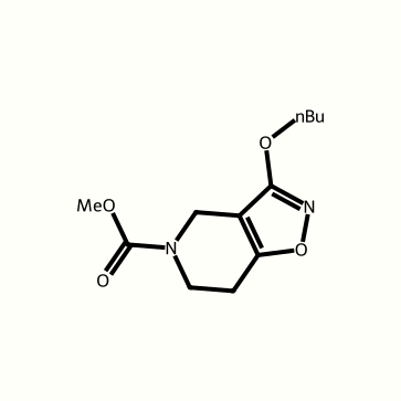 CCCCOc1noc2c1CN(C(=O)OC)CC2